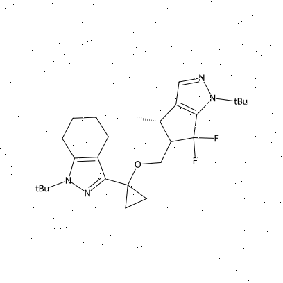 C[C@@H]1c2cnn(C(C)(C)C)c2C(F)(F)C1COC1(c2nn(C(C)(C)C)c3c2CCCC3)CC1